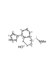 CNC[C@@H]1OCCc2c(-c3c[nH]cn3)cccc21.Cl